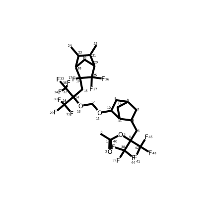 CC(=O)OC(CC1CC2CC(OCOC(CC3(F)C4CC(C(C)C4C)C3(F)F)(C(F)(F)F)C(F)(F)F)C1C2)(C(F)(F)F)C(F)(F)F